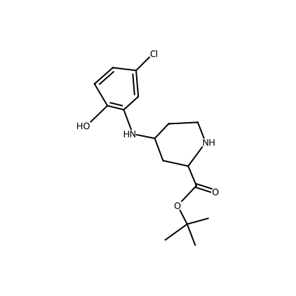 CC(C)(C)OC(=O)C1CC(Nc2cc(Cl)ccc2O)CCN1